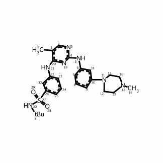 Cc1cnc(Nc2cccc(N3CCN(C)CC3)c2)nc1Nc1cccc(S(=O)(=O)NC(C)(C)C)c1